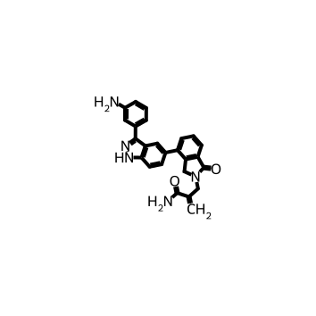 C=C(CN1Cc2c(cccc2-c2ccc3[nH]nc(-c4cccc(N)c4)c3c2)C1=O)C(N)=O